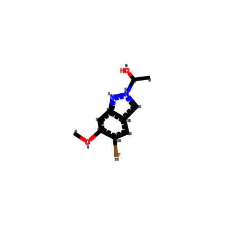 COc1cc2nn(C(C)O)cc2cc1Br